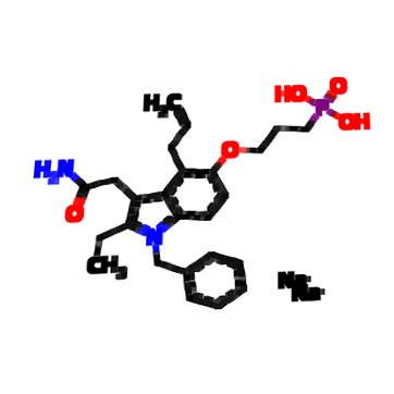 C=CCc1c(OCCCP(=O)(O)O)ccc2c1c(CC(N)=O)c(CC)n2Cc1ccccc1.[Na].[Na]